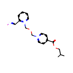 CC(C)COC(=O)c1cc[n+](COC[n+]2ccccc2C=NO)cc1.[I-].[I-]